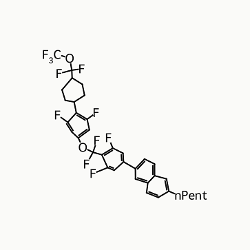 CCCCCc1ccc2cc(-c3cc(F)c(C(F)(F)Oc4cc(F)c(C5CCC(C(F)(F)OC(F)(F)F)CC5)c(F)c4)c(F)c3)ccc2c1